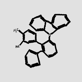 Cc1ccc(-c2c(-c3ccccc3)cccc2-n2c3ccccc3c3ccccc32)cc1C#N